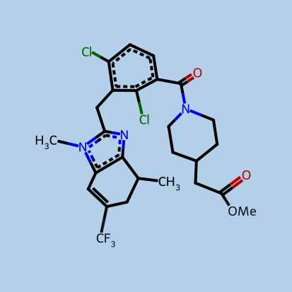 COC(=O)CC1CCN(C(=O)c2ccc(Cl)c(Cc3nc4c(n3C)C=C(C(F)(F)F)CC4C)c2Cl)CC1